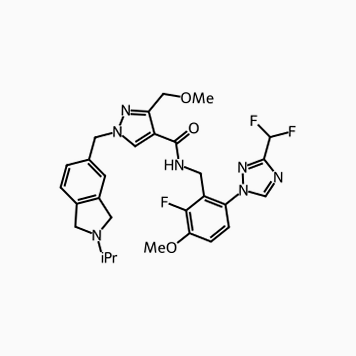 COCc1nn(Cc2ccc3c(c2)CN(C(C)C)C3)cc1C(=O)NCc1c(-n2cnc(C(F)F)n2)ccc(OC)c1F